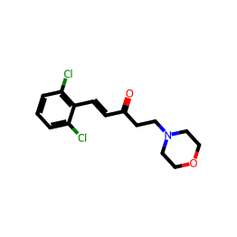 O=C(C=Cc1c(Cl)cccc1Cl)CCN1CCOCC1